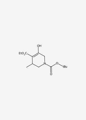 CCOC(=O)C1=C(O)CN(C(=O)OC(C)(C)C)CC1C